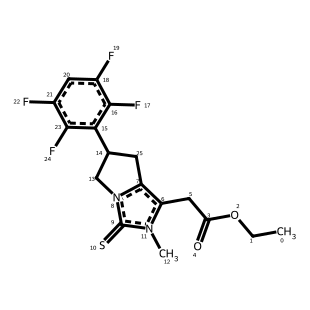 CCOC(=O)Cc1c2n(c(=S)n1C)CC(c1c(F)c(F)cc(F)c1F)C2